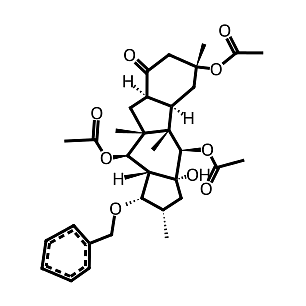 CC(=O)O[C@@H]1[C@H]2[C@@H](OCc3ccccc3)[C@@H](C)C[C@]2(O)[C@H](OC(C)=O)[C@@]2(C)[C@@H]3C[C@@](C)(OC(C)=O)CC(=O)[C@@H]3C[C@@]12C